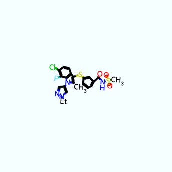 CCn1cc(-n2c(C)c(Sc3cccc(C(=O)NS(C)(=O)=O)c3)c3ccc(Cl)c(F)c32)cn1